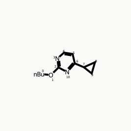 CCCCOc1nccc(C2CC2)n1